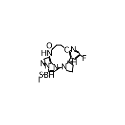 O=C1CCCc2ncc(F)cc2[C@@H]2CCCN2c2cc(BSI)n3ncc(c3n2)N1